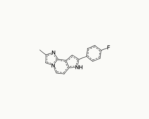 Cc1cn2ccc3[nH]c(-c4ccc(F)cc4)cc3c2n1